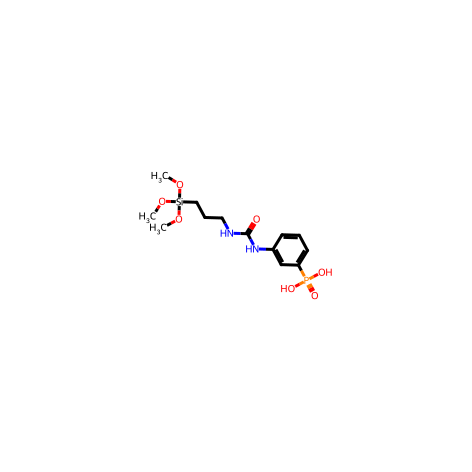 CO[Si](CCCNC(=O)Nc1cccc(P(=O)(O)O)c1)(OC)OC